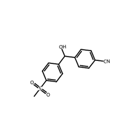 CS(=O)(=O)c1ccc(C(O)c2ccc(C#N)cc2)cc1